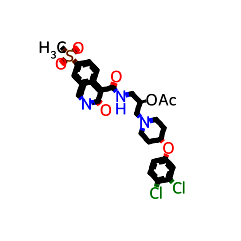 CC(=O)O[C@H](CNC(=O)C1=c2ccc(S(C)(=O)=O)cc2=C[N]C1=O)CN1CCC(Oc2ccc(Cl)c(Cl)c2)CC1